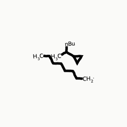 CCCCC(C)C1[CH]C1.[CH2]CCCCCCC